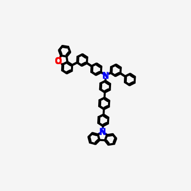 c1ccc(-c2cccc(N(c3ccc(-c4ccc(-c5ccc(-n6c7ccccc7c7ccccc76)cc5)cc4)cc3)c3ccc(-c4cccc(-c5cccc6oc7ccccc7c56)c4)cc3)c2)cc1